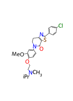 COc1cc(N2CCc3nc(-c4ccc(Cl)cc4)sc3C2=O)ccc1OCCN(C)C(C)C